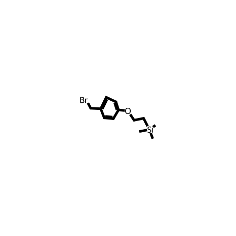 C[Si](C)(C)CCOc1ccc(CBr)cc1